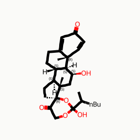 CCCCC(C)C1(O)OCC(=O)[C@]2(CC[C@H]3[C@@H]4CCC5=CC(=O)C=C[C@]5(C)[C@H]4[C@@H](O)C[C@@]32C)O1